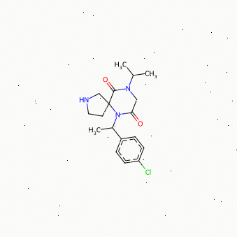 CC(C)N1CC(=O)N(C(C)c2ccc(Cl)cc2)C2(CCNC2)C1=O